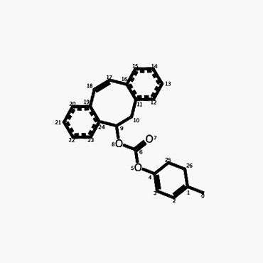 CC1=CC=C(OC(=O)OC2Cc3ccccc3/C=C\c3ccccc32)CC1